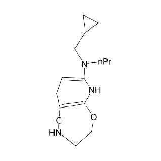 CCCN(CC1CC1)C1=CCC2=C(N1)OCCNC2